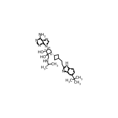 CC(C)NC[C@@]1(O)[C@@H](C2CC(CCc3nc4cc(C(C)(C)C)ccc4[nH]3)C2)C[C@@H](n2cnc3c(N)ncnc32)[C@@H]1O